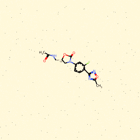 CC(=O)NC[C@H]1CN(c2ccc(-c3noc(C)n3)c(F)c2)C(=O)O1